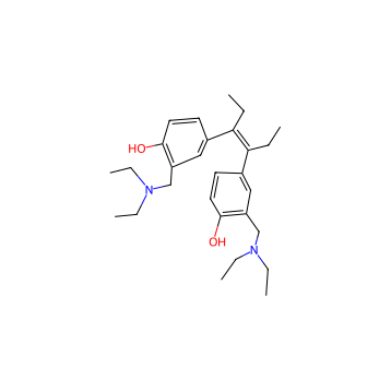 CC/C(=C(\CC)c1ccc(O)c(CN(CC)CC)c1)c1ccc(O)c(CN(CC)CC)c1